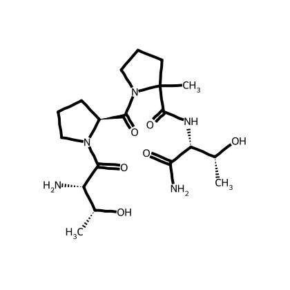 C[C@@H](O)[C@H](N)C(=O)N1CCC[C@H]1C(=O)N1CCCC1(C)C(=O)N[C@@H](C(N)=O)[C@@H](C)O